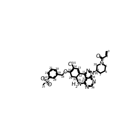 C=CC(=O)N1CCC[C@@H](n2nc(C3=CC(Cl)=C(OCc4cccc(S(C)(=O)=O)c4)CC3C)c3c(N)ncnc32)C1